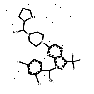 CC(c1ccc(Cl)cc1Cl)n1nc(C(F)(F)F)c2ncc(N3CCN(C(O)C4CCCN4)CC3)nc21